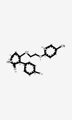 N#Cc1ccc(OCCOc2cc[nH]c(=O)c2-c2ccc(F)cc2)nc1